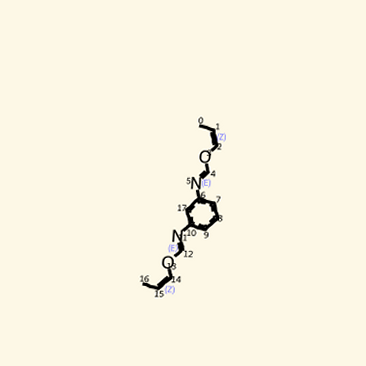 C/C=C\O/C=N/c1cccc(/N=C/O/C=C\C)c1